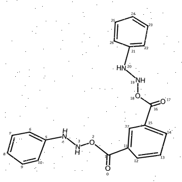 O=C(ONNc1ccccc1)c1cccc(C(=O)ONNc2ccccc2)c1